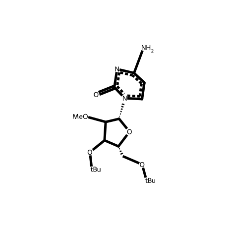 COC1C(OC(C)(C)C)[C@@H](COC(C)(C)C)O[C@H]1n1ccc(N)nc1=O